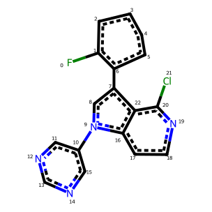 Fc1ccccc1-c1cn(-c2cncnc2)c2ccnc(Cl)c12